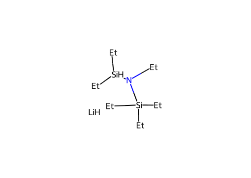 CCN([SiH](CC)CC)[Si](CC)(CC)CC.[LiH]